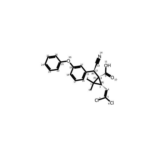 CC1(C)[C@@H](C=C(Cl)Cl)[C@]1(C(=O)O)[C@H](C#N)c1cccc(Oc2ccccc2)c1